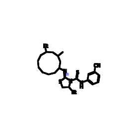 CCC1CCCCCCC(/N=C2\SCC(CC)N2C(=S)Nc2cccc(C#N)c2)CC(C)C1